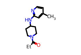 CCC(=O)N1CCC(Nc2cc(C)ccn2)CC1